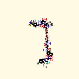 Cc1ncsc1-c1ccc(CNC(=O)[C@@H]2C[C@@H](O)CN2C(=O)[C@@H](NC(=O)COCCOCCOCCNC(=O)CCC(=O)Nc2ccc3c(c2)CC[C@]32OC(=O)N(CC(=O)N(Cc3ccc(F)cc3)[C@H](C)C(F)(F)F)C2=O)C(C)(C)C)cc1